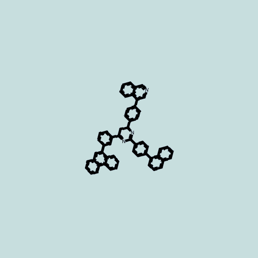 c1cc(C2=NC(c3ccc(-c4cccc5ccccc45)cc3)=NC(c3ccc(-c4cncc5ccccc45)cc3)C2)cc(-c2cc3ccccc3c3ccccc23)c1